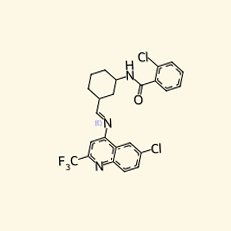 O=C(NC1CCCC(/C=N/c2cc(C(F)(F)F)nc3ccc(Cl)cc23)C1)c1ccccc1Cl